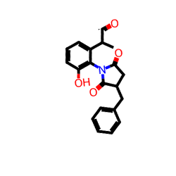 CC([C]=O)c1cccc(O)c1N1C(=O)CC(Cc2ccccc2)C1=O